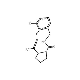 CC(=O)[C@@H]1CCC[C@H]1C(=O)NCc1cccc(Cl)c1F